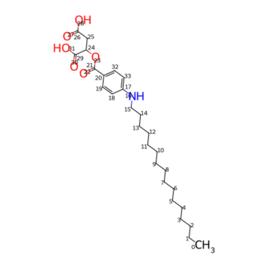 CCCCCCCCCCCCCCCCNc1ccc(C(=O)OC(CC(=O)O)C(=O)O)cc1